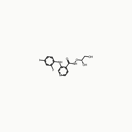 O=C(NO[C@H](O)CO)c1ccncc1Nc1ccc(I)cc1F